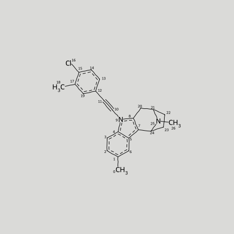 Cc1ccc2c(c1)c1c(n2C#Cc2ccc(Cl)c(C)c2)CC2CCC1N2C